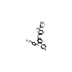 CN1CCN(c2ncc(Sc3cncc(NC(=O)CN)n3)cc2OC2CCC(N)C2)CC1